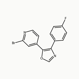 Fc1ccc(-c2ncoc2-c2ccnc(Br)c2)cc1